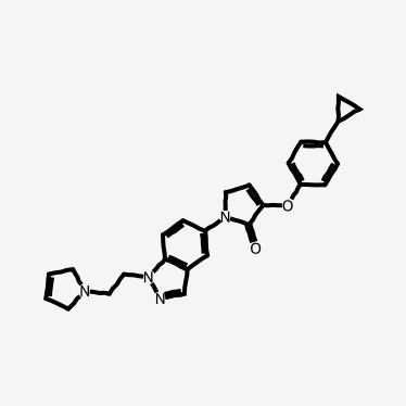 O=C1C(Oc2ccc(C3CC3)cc2)=CCN1c1ccc2c(cnn2CCN2CC=CC2)c1